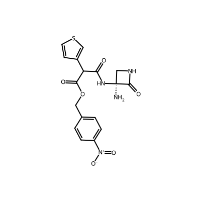 N[C@]1(NC(=O)C(C(=O)OCc2ccc([N+](=O)[O-])cc2)c2ccsc2)CNC1=O